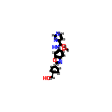 COc1cc2nc([C@H]3CC[C@H](CO)CC3)oc2cc1NC(=O)c1ccncn1